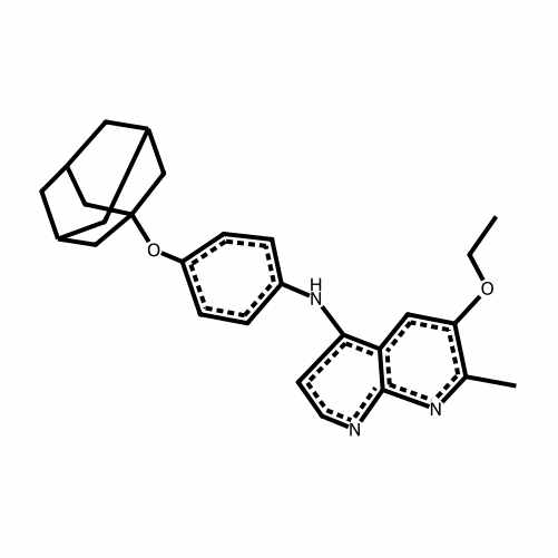 CCOc1cc2c(Nc3ccc(OC45CC6CC(CC(C6)C4)C5)cc3)ccnc2nc1C